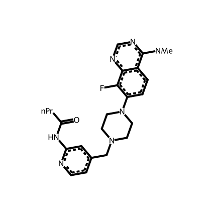 CCCC(=O)Nc1cc(CN2CCN(c3ccc4c(NC)ncnc4c3F)CC2)ccn1